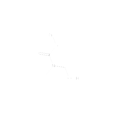 CC(C)OC(=O)N(C)CC(=O)O